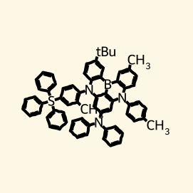 Cc1ccc(N2c3ccc(C)cc3B3c4cc(C(C)(C)C)ccc4N(c4ccc(S(c5ccccc5)(c5ccccc5)c5ccccc5)cc4C)c4cc(N(c5ccccc5)c5ccccc5)cc2c43)cc1